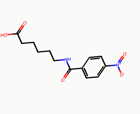 O=C(O)CCCCCNC(=O)c1ccc([N+](=O)[O-])cc1